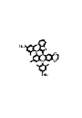 Cc1cc2c3c(c1)N(c1c(C)cc(C(C)(C)C)cc1C)c1c(sc4ccccc14)B3c1cc3c(cc1N2c1c(C)cc(C(C)(C)C)cc1C)OCCO3